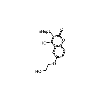 CCCCCCCc1c(O)c2cc(OCCO)ccc2oc1=O